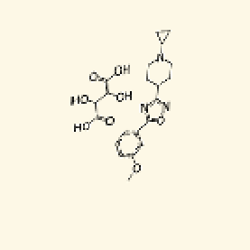 COc1cccc(-c2nc(C3CCN(C4CC4)CC3)no2)c1.O=C(O)C(O)C(O)C(=O)O